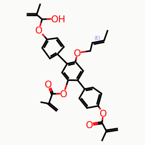 C=C(C)C(=O)Oc1ccc(-c2cc(OC/C=C/C)c(-c3ccc(OC(O)C(=C)C)cc3)cc2OC(=O)C(=C)C)cc1